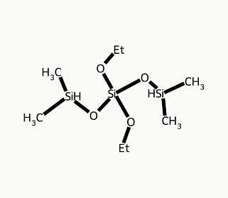 CCO[Si](OCC)(O[SiH](C)C)O[SiH](C)C